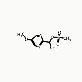 COc1cnc(C(C)OS(C)(=O)=O)nc1